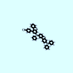 Clc1ccc(-c2cc(N(c3ccccc3)c3ccc4sc5cc(N(c6ccccc6)c6ccccc6)ccc5c4c3)cc3sc4ccccc4c23)cc1